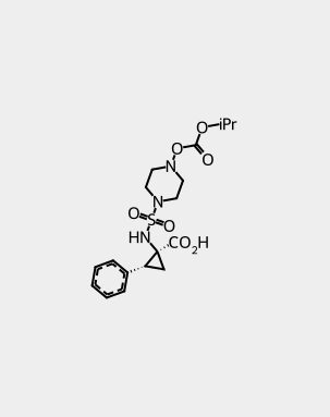 CC(C)OC(=O)ON1CCN(S(=O)(=O)N[C@@]2(C(=O)O)C[C@@H]2c2ccccc2)CC1